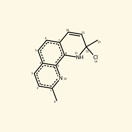 Cc1ccc2ccc3c(c2n1)NC(C)(Cl)C=C3